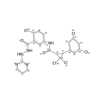 O=C(NNc1ncccn1)c1cc(NC(=O)C2C(c3cc(Cl)cc(Cl)c3)C2(Cl)Cl)ccc1Cl